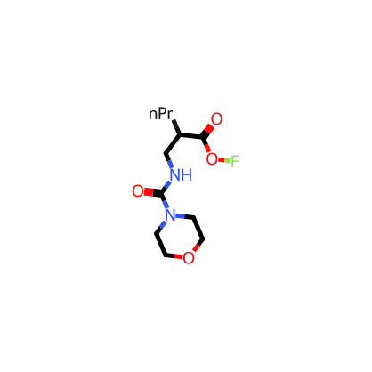 CCCC(CNC(=O)N1CCOCC1)C(=O)OF